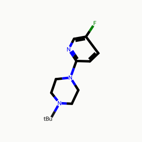 CC(C)(C)N1CCN(c2ccc(F)cn2)CC1